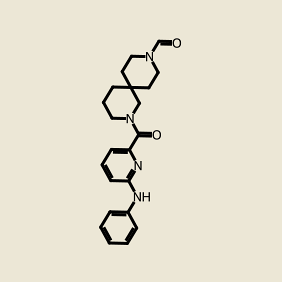 O=CN1CCC2(CCCN(C(=O)c3cccc(Nc4ccccc4)n3)C2)CC1